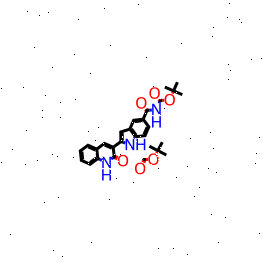 CC(C)(C)OC(=O)NC(=O)c1ccc2[nH]c(-c3cc4ccccc4[nH]c3=O)cc2c1.CC(C)(C)OC=O